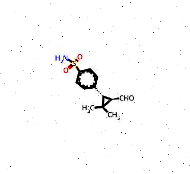 CC1(C)[C@H](C=O)[C@H]1c1ccc(S(N)(=O)=O)cc1